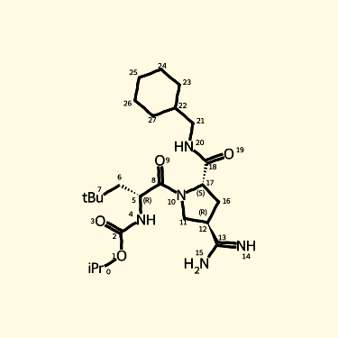 CC(C)OC(=O)N[C@H](CC(C)(C)C)C(=O)N1C[C@H](C(=N)N)C[C@H]1C(=O)NCC1CCCCC1